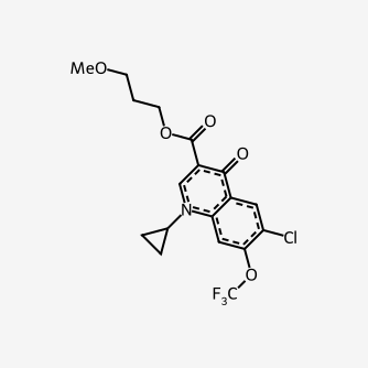 COCCCOC(=O)c1cn(C2CC2)c2cc(OC(F)(F)F)c(Cl)cc2c1=O